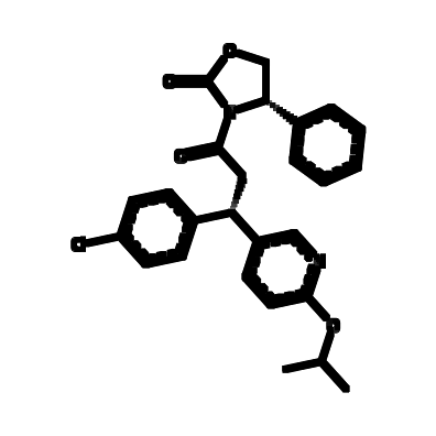 CC(C)Oc1ccc([C@@H](CC(=O)N2C(=O)OC[C@@H]2c2ccccc2)c2ccc(Cl)cc2)cn1